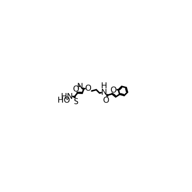 O=C(NCCCOc1cc(C(=S)NO)on1)c1cc2ccccc2o1